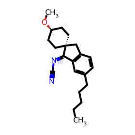 CCCCCc1ccc2c(c1)/C(=N\C#N)[C@]1(CC[C@H](OC)CC1)C2